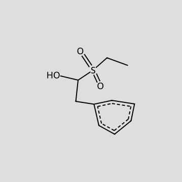 CCS(=O)(=O)C(O)Cc1ccccc1